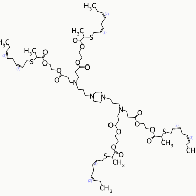 CC/C=C\C/C=C\CSC(C)C(=O)OCCOC(=O)CCN(CCCN1CCN(CCCN(CCC(=O)OCCOC(=O)C(C)SC/C=C\C/C=C\CC)CCC(=O)OCCOC(=O)C(C)SC/C=C\C/C=C\CC)CC1)CCC(=O)OCCOC(=O)C(C)SC/C=C\C/C=C\CC